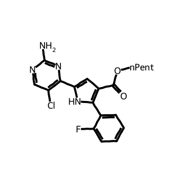 CCCCCOC(=O)c1cc(-c2nc(N)ncc2Cl)[nH]c1-c1ccccc1F